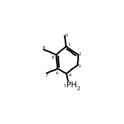 CC1=CCC(P)C(C)=C1C